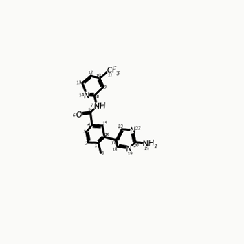 Cc1ccc(C(=O)Nc2cc(C(F)(F)F)ccn2)cc1-c1cnc(N)nc1